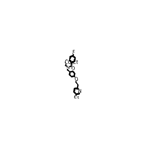 CCOC(=O)CN(Cc1ccc(OCCc2ccc(CC)cn2)cc1)C(=O)c1ccc(F)cc1